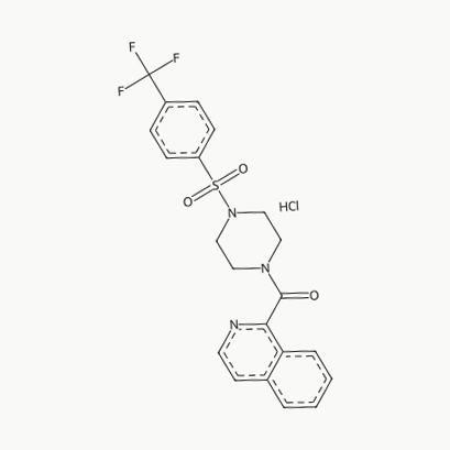 Cl.O=C(c1nccc2ccccc12)N1CCN(S(=O)(=O)c2ccc(C(F)(F)F)cc2)CC1